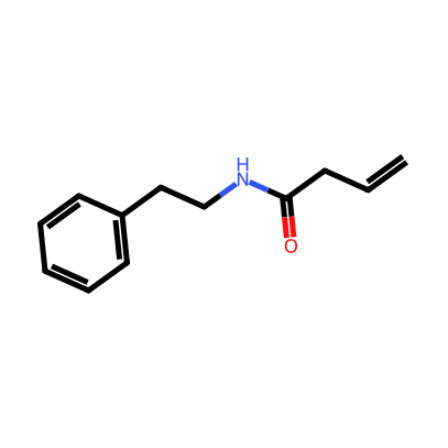 C=CCC(=O)NCCc1ccccc1